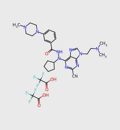 CN(C)CCn1cnc2c(N(NC(=O)c3cccc(N4CCN(C)CC4)c3)C3CCCC3)nc(C#N)nc21.O=C(O)C(F)(F)F.O=C(O)C(F)(F)F